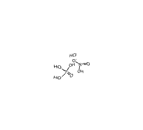 Cl.O=P(O)(O)O.O=[N+]([O-])O